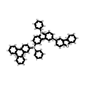 c1ccc(N(c2ccc3c4ccccc4c4ccccc4c3c2)c2ccc3c(c2)c2cc(-c4ccc5oc6ccccc6c5c4)ccc2n3-c2ccccc2)cc1